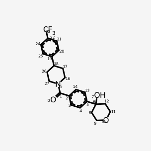 O=C(c1ccc(C2(O)CCOCC2)cc1)N1CCC(c2ccc(C(F)(F)F)cc2)CC1